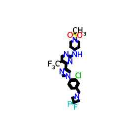 CS(=O)(=O)N1CCC(Nc2ncc(C(F)(F)F)c(-c3cn(-c4ccc(CN5CC(F)(F)C5)cc4Cl)cn3)n2)CC1